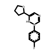 Fc1ccc(N2C=NC=C(C3CCCO3)N2)cc1